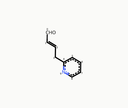 O=CC=CCc1ccccn1